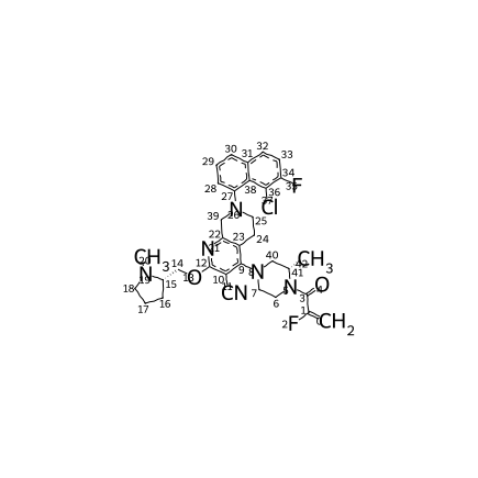 C=C(F)C(=O)N1CCN(c2c(C#N)c(OC[C@@H]3CCCN3C)nc3c2CCN(c2cccc4ccc(F)c(Cl)c24)C3)C[C@@H]1C